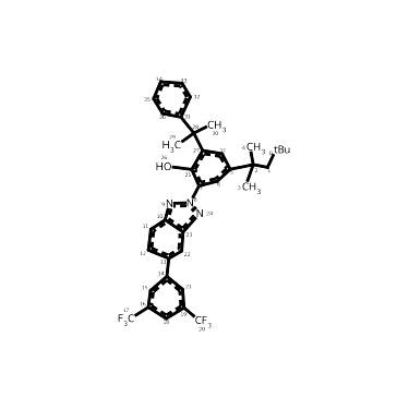 CC(C)(C)CC(C)(C)c1cc(-n2nc3ccc(-c4cc(C(F)(F)F)cc(C(F)(F)F)c4)cc3n2)c(O)c(C(C)(C)c2ccccc2)c1